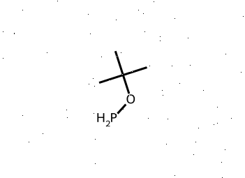 CC(C)(C)OP